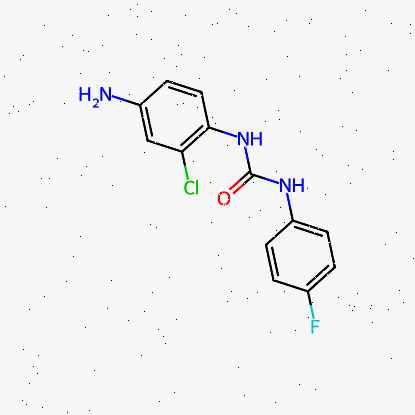 Nc1ccc(NC(=O)Nc2ccc(F)cc2)c(Cl)c1